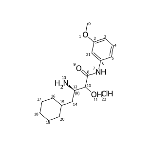 COc1cccc(NC(=O)C(O)[C@H](N)CC2CCCCC2)c1.Cl